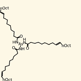 CCCCCCCCC=CCCCCCCCC(=O)N[As](NC(=O)CCCCCCCC=CCCCCCCCC)NC(=O)CCCCCCC/C=C\CCCCCCCC